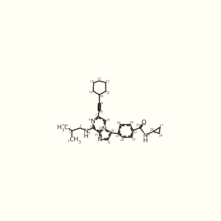 CC(C)CNc1nc(C#CC2CCCCC2)cn2c(-c3ccc(C(=O)NC4CC4)cc3)cnc12